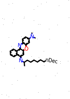 CCCCCCCCCCCCCCCCC(C)N=c1cc2oc3cc(N(C)C)ccc3nc-2c2ccccc12